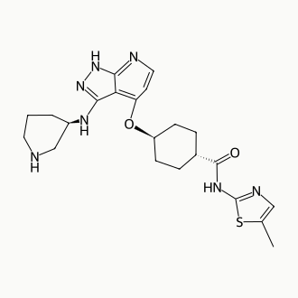 Cc1cnc(NC(=O)[C@H]2CC[C@H](Oc3ccnc4[nH]nc(N[C@@H]5CCCNC5)c34)CC2)s1